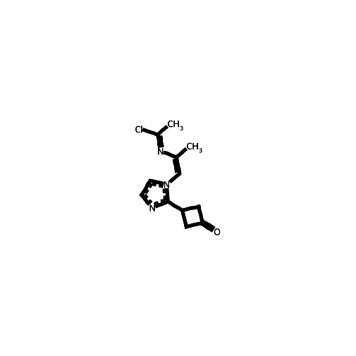 CC(=C/n1ccnc1C1CC(=O)C1)/N=C(\C)Cl